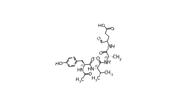 CC(=O)N[C@@H](Cc1ccc(O)cc1)C(=O)N[C@H](C(=O)N[C@@H](C)C(=O)NC(C=O)CCC(=O)O)C(C)C